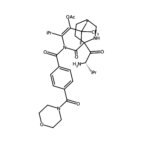 CC(=O)O/C(=C(\C(C)C)N(C(=O)c1ccc(C(=O)N2CCOCC2)cc1)C(=O)C1(C(=O)[C@@H](N)C(C)C)CCCCN1)C(F)(F)C(F)(F)F